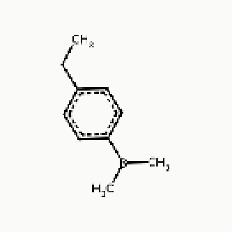 CCc1ccc(B(C)C)cc1